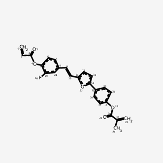 C=CC(=O)Oc1ccc(/C=C/c2ccc(-c3ccc(OC(=O)C(=C)C)cc3)o2)cc1F